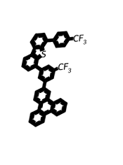 FC(F)(F)c1ccc(-c2cccc3c2sc2c(-c4cc(-c5ccc6c7ccccc7c7ccccc7c6c5)cc(C(F)(F)F)c4)cccc23)cc1